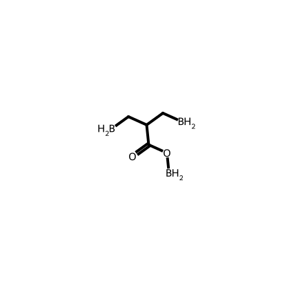 BCC(CB)C(=O)OB